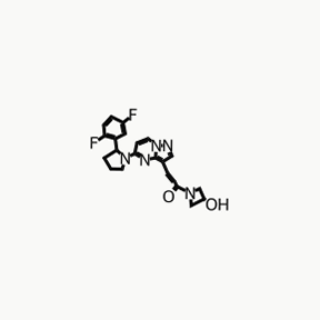 O=C(C=Cc1cnn2ccc(N3CCCC3c3cc(F)ccc3F)nc12)N1CC(O)C1